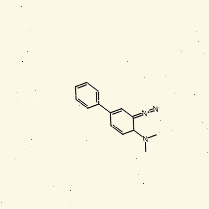 CN(C)C1C=CC(c2ccccc2)=CC1=[N+]=[N-]